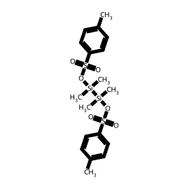 Cc1ccc(S(=O)(=O)O[Si](C)(C)[Si](C)(C)OS(=O)(=O)c2ccc(C)cc2)cc1